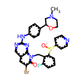 CN1CCOC(c2ccc(Nc3ncc4cc(Br)c(=O)n(Cc5c(F)cccc5[S+]([O-])c5ccncc5)c4n3)cc2)C1